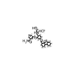 Cl.NC(=O)c1cncc(COc2cc(OCc3cccc(-c4ccccc4F)c3Cl)ccc2CNCCO)c1